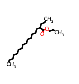 CCCCCCCCCCCCCCC(CCC)C(=O)OCCC